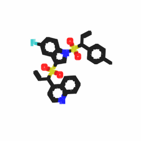 C=CC(c1ccnc2ccccc12)S(=O)(=O)c1cn(S(=O)(=O)C(C=C)c2ccc(C)cc2)c2ccc(F)cc12